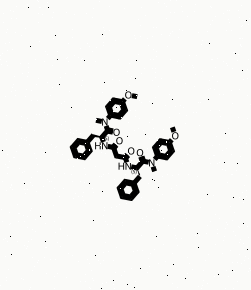 COc1ccc(N(C)C(=O)[C@H](Cc2ccccc2)NC(=O)CC(=O)N[C@@H](Cc2ccccc2)C(=O)N(C)c2ccc(OC)cc2)cc1